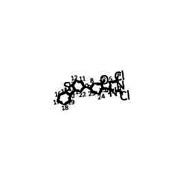 Clc1nc(Cl)c2oc3cc(-c4ccc5sc6ccccc6c5c4)ccc3c2n1